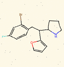 Fc1ccc(CC(c2ccco2)C2CCCN2)c(Br)c1